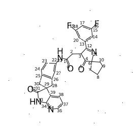 O=C(CC1C(=O)C2(CCCC2)N=C1c1cc(F)cc(F)c1)Nc1ccc2c(c1)CC1(C2)C(=O)Nc2ncccc21